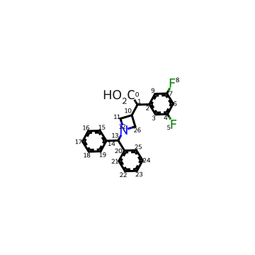 O=C(O)C(c1cc(F)cc(F)c1)C1CN(C(c2ccccc2)c2ccccc2)C1